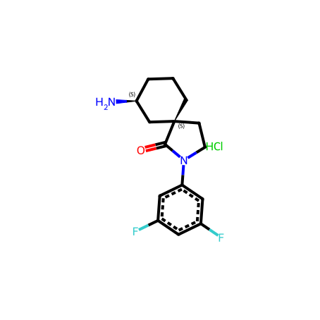 Cl.N[C@H]1CCC[C@]2(CCN(c3cc(F)cc(F)c3)C2=O)C1